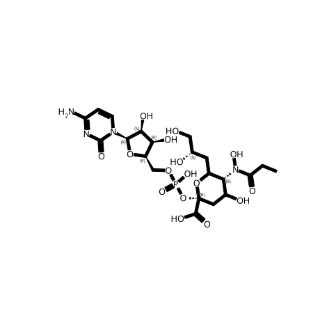 CCC(=O)N(O)[C@@H]1C(O)C[C@@](OP(=O)(O)OC[C@H]2O[C@@H](n3ccc(N)nc3=O)[C@@H](O)[C@H]2O)(C(=O)O)OC1C[C@H](O)CO